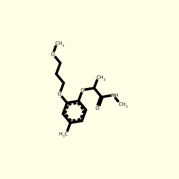 CNC(=O)C(C)Oc1ccc(C)cc1OCCCOC